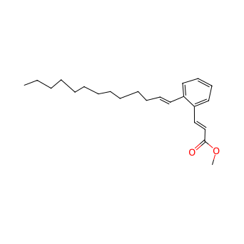 CCCCCCCCCCCC=Cc1ccccc1/C=C/C(=O)OC